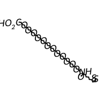 O=C(O)CCOCCOCCOCCOCCOCCOCCOCCOCCOCCOCCOCCOCCNC(=O)CCCCC1CCSS1